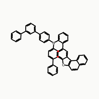 c1ccc(-c2ccc(N(c3ccc(-c4cccc(-c5ccccc5)c4)cc3)c3ccccc3-c3ccc4oc5ccc6ccccc6c5c4c3)cc2)cc1